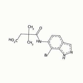 CC(C)(CC(=O)O)C(=O)Nc1ccc2cn[nH]c2c1Br